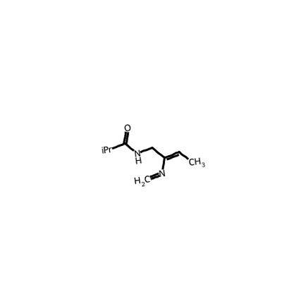 C=N/C(=C\C)CNC(=O)C(C)C